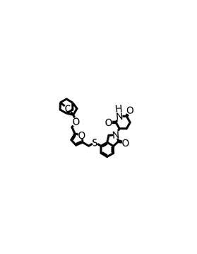 O=C1CCC(N2Cc3c(SCc4ccc(COC56CC7CC(CC5C7)C6)o4)cccc3C2=O)C(=O)N1